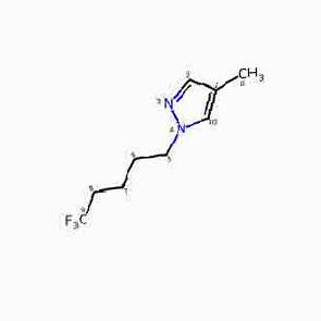 Cc1cnn(CCCCC(F)(F)F)c1